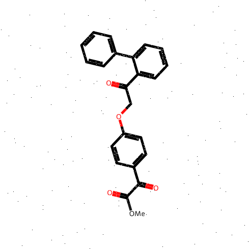 COC(=O)C(=O)c1ccc(OCC(=O)c2ccccc2-c2ccccc2)cc1